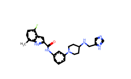 Cc1ccc(F)c2cc(C(=O)Nc3cccc(N4CCC(NCc5cnc[nH]5)CC4)c3)[nH]c12